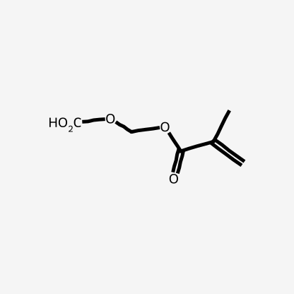 C=C(C)C(=O)OCOC(=O)O